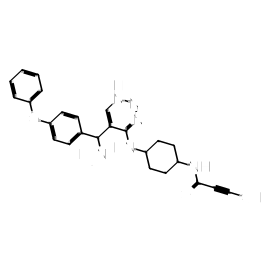 CC#CC(=O)NC1CCC(NC2=NNNC=C2C(N)c2ccc(Oc3ccccc3)cc2)CC1